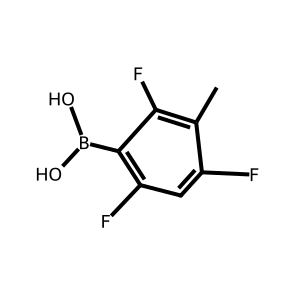 Cc1c(F)cc(F)c(B(O)O)c1F